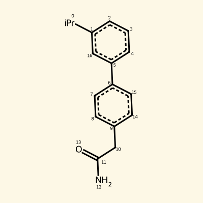 CC(C)c1cccc(-c2ccc(CC(N)=O)cc2)c1